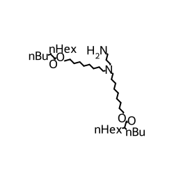 CCCCCCC(CCCC)C(=O)OCCCCCCCCCN(CCCN)CCCCCCCCCOC(=O)C(CCCC)CCCCCC